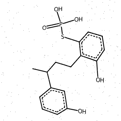 CC(CCc1c(O)cccc1SP(=O)(O)O)c1cccc(O)c1